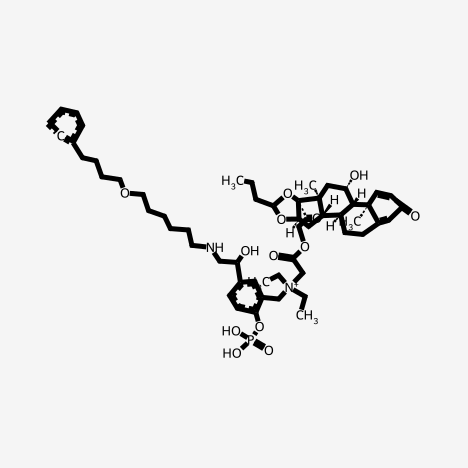 CCCC1O[C@@H]2C[C@H]3[C@@H]4CCC5=CC(=O)C=C[C@]5(C)[C@H]4[C@@H](O)C[C@]3(C)[C@]2(C(=O)COC(=O)C[N+](CC)(CC)Cc2cc(C(O)CNCCCCCCOCCCCc3ccccc3)ccc2OP(=O)(O)O)O1